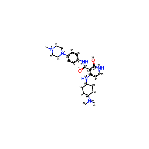 CN1CCN(c2ccc(NC(=O)c3c(NC4CCC(N(C)C)CC4)cc[nH]c3=O)cc2)CC1